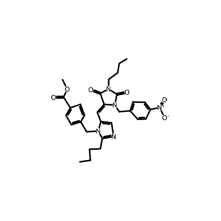 CCCCc1ncc(/C=C2/C(=O)N(CCCC)C(=O)N2Cc2ccc([N+](=O)[O-])cc2)n1Cc1ccc(C(=O)OC)cc1